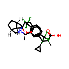 C[C@H](C(=O)O)[C@H](c1ccc2c(c1)OC([C@@H]1[C@@H]3CC[C@H]1CN([C@H](C)c1cc(C(F)(F)F)ccc1C(F)(F)F)C3)CC2)C1CC1